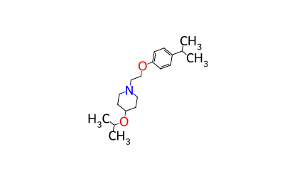 CC(C)OC1CCN(CCOc2ccc(C(C)C)cc2)CC1